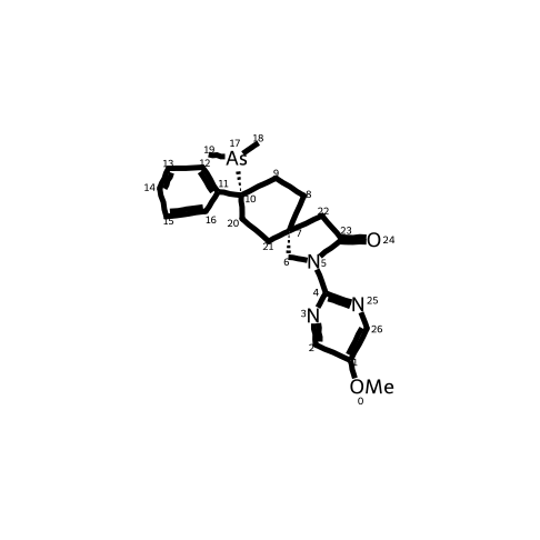 COc1cnc(N2C[C@]3(CC[C@@](c4ccccc4)([As](C)C)CC3)CC2=O)nc1